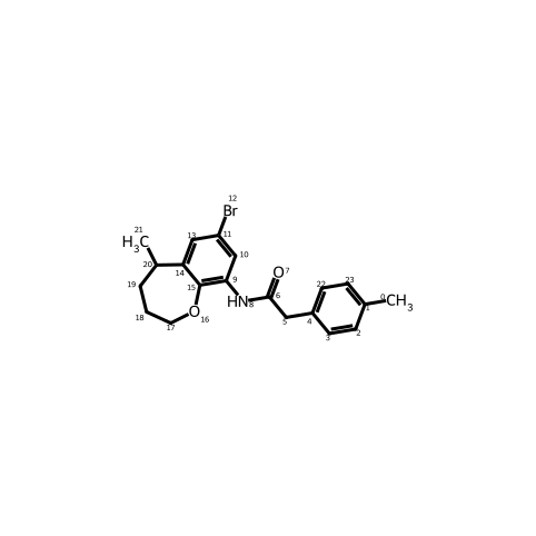 Cc1ccc(CC(=O)Nc2cc(Br)cc3c2OCCCC3C)cc1